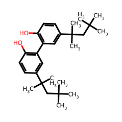 CC(C)(C)CC(C)(C)c1ccc(O)c(-c2cc(C(C)(C)CC(C)(C)C)ccc2O)c1